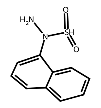 NN(c1cccc2ccccc12)[SH](=O)=O